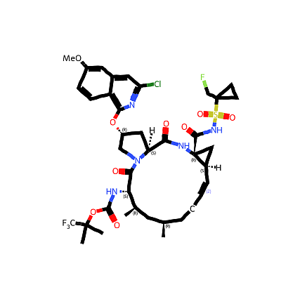 COc1ccc2c(O[C@@H]3C[C@H]4C(=O)N[C@]5(C(=O)NS(=O)(=O)C6(CF)CC6)C[C@H]5/C=C\CC[C@@H](C)C[C@@H](C)[C@H](NC(=O)OC(C)(C)C(F)(F)F)C(=O)N4C3)nc(Cl)cc2c1